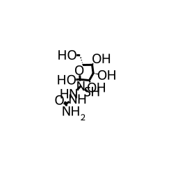 NC(=O)NNN(S)C1(O)O[C@H](CO)[C@H](O)[C@H](O)[C@H]1O